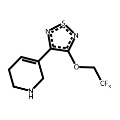 FC(F)(F)COc1nsnc1C1=CCCNC1